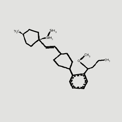 CCCC(OC)c1ccccc1C1CCC(/C=C/[C@]2([SiH2][SiH3])CC[C@@H](C)CC2)CC1